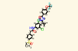 CC[S+]([O-])c1ccc(CC(=O)Nc2cc(Cl)c(C3(c4noc(-c5ccc(OC(F)(F)F)cc5)n4)CC3)c(Cl)c2)cc1